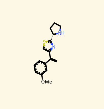 C=C(c1cccc(OC)c1)c1csc([C@@H]2CCCN2)n1